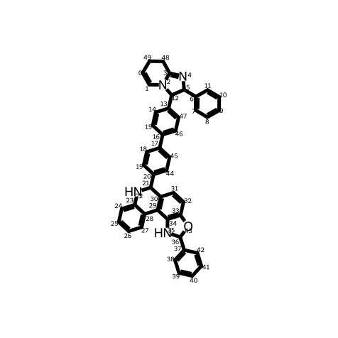 C1=CN2C(=NC(c3ccccc3)C2c2ccc(-c3ccc(C4Nc5ccccc5-c5c4ccc4c5NC(c5ccccc5)O4)cc3)cc2)CC1